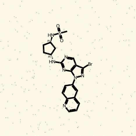 CS(=O)(=O)N[C@@H]1CC[C@@H](Nc2ncc3c(Br)nn(-c4ccc5ncccc5c4)c3n2)C1